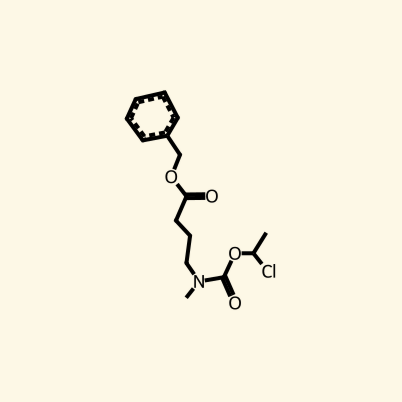 CC(Cl)OC(=O)N(C)CCCC(=O)OCc1ccccc1